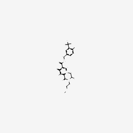 COCCN1C(=O)c2c(O)c(=O)c(C(=O)NCc3ccc(F)c(C(F)(F)F)c3)cn2CC1O